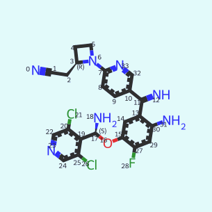 N#CC[C@H]1CCN1c1ccc(C(=N)c2cc(O[C@H](N)c3c(Cl)cncc3Cl)c(F)cc2N)cn1